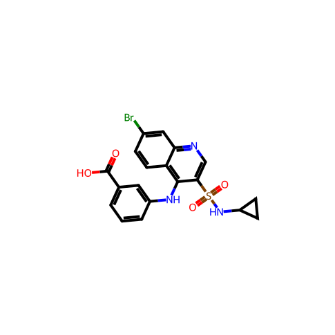 O=C(O)c1cccc(Nc2c(S(=O)(=O)NC3CC3)cnc3cc(Br)ccc23)c1